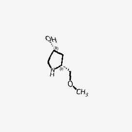 COC[C@H]1C[C@@H](O)CN1